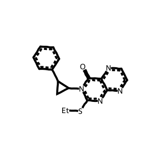 CCSc1nc2nccnc2c(=O)n1C1CC1c1ccccc1